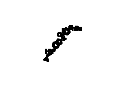 CCCCOc1ccc(C(=O)N(C)[C@@H]2Cc3ccc(CNCCC4CC4)cc3C2)nc1